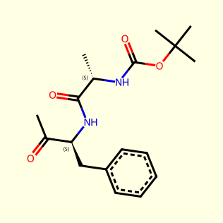 CC(=O)[C@H](Cc1ccccc1)NC(=O)[C@H](C)NC(=O)OC(C)(C)C